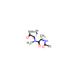 CCC(=O)N[C@@H](C)C(=O)N(C)[C@@H](CC(C)C)C(=O)NC